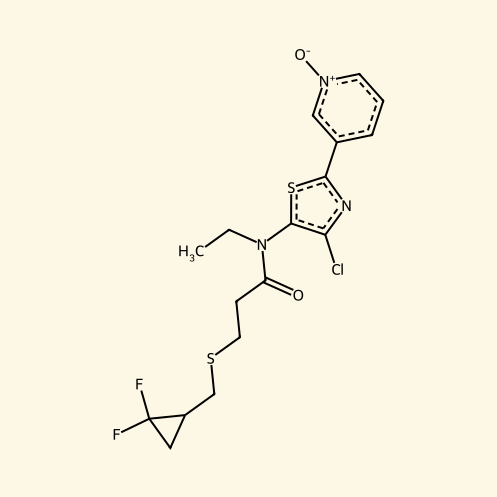 CCN(C(=O)CCSCC1CC1(F)F)c1sc(-c2ccc[n+]([O-])c2)nc1Cl